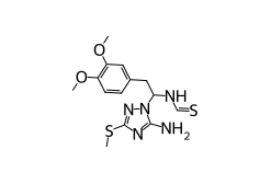 COc1ccc(CC(NC=S)n2nc(SC)nc2N)cc1OC